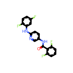 O=C(Nc1ccc(Nc2cc(F)ccc2F)nc1)c1c(F)cccc1F